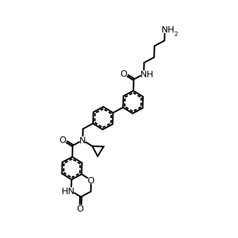 NCCCCNC(=O)c1cccc(-c2ccc(CN(C(=O)c3ccc4c(c3)OCC(=O)N4)C3CC3)cc2)c1